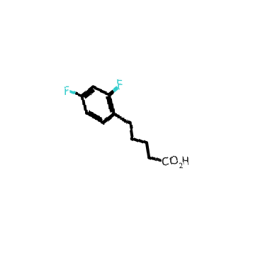 O=C(O)CCCCc1ccc(F)cc1F